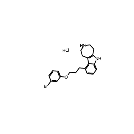 Brc1cccc(OCCCc2cccc3[nH]c4c(c23)CCNCC4)c1.Cl